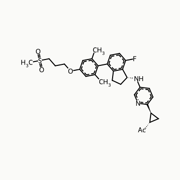 CC(=O)[C@H]1C[C@@H]1c1ccc(N[C@@H]2CCc3c(-c4c(C)cc(OCCCS(C)(=O)=O)cc4C)ccc(F)c32)cn1